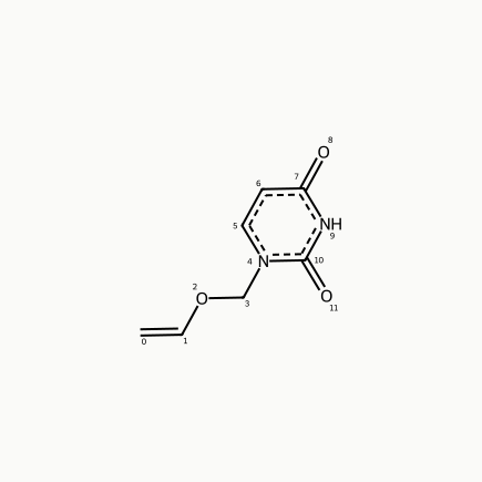 C=COCn1ccc(=O)[nH]c1=O